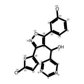 OC(c1cncnc1)c1c(-c2ccc(Cl)s2)noc1-c1cccc(Cl)c1